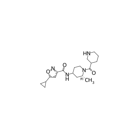 C[C@@H]1CC(NC(=O)c2cc(C3CC3)on2)CCN1C(=O)C1CCCNC1